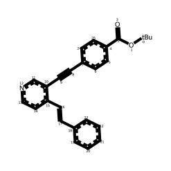 CC(C)(C)OC(=O)c1ccc(C#Cc2cnccc2/C=C/c2ccccc2)cc1